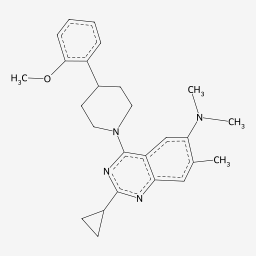 COc1ccccc1C1CCN(c2nc(C3CC3)nc3cc(C)c(N(C)C)cc23)CC1